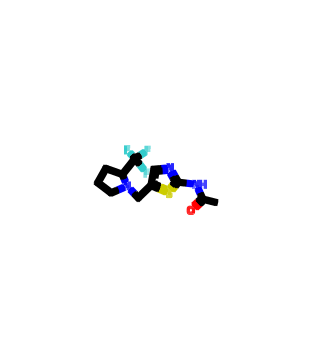 CC(=O)Nc1ncc(CN2CCCC2C(F)(F)F)s1